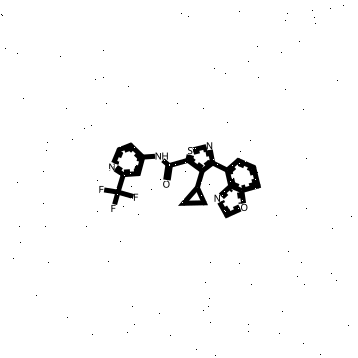 O=C(Nc1ccnc(C(F)(F)F)c1)c1snc(-c2cccc3ocnc23)c1C1CC1